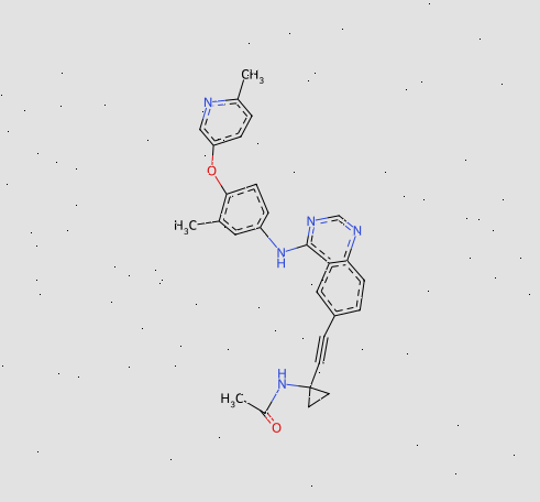 CC(=O)NC1(C#Cc2ccc3ncnc(Nc4ccc(Oc5ccc(C)nc5)c(C)c4)c3c2)CC1